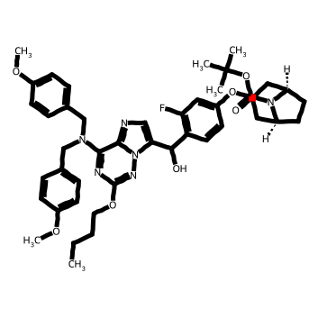 CCCCOc1nc(N(Cc2ccc(OC)cc2)Cc2ccc(OC)cc2)c2ncc(C(O)c3ccc(OC4C[C@H]5CC[C@@H](C4)N5C(=O)OC(C)(C)C)cc3F)n2n1